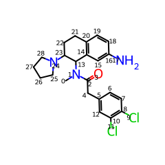 CN(C(=O)Cc1ccc(Cl)c(Cl)c1)C1c2cc(N)ccc2CCC1N1CCCC1